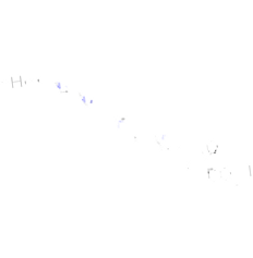 CCCCCC/C=C/C=C/C/C=C/C/C=C/CCC(O)C(=O)O